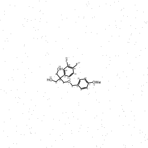 COc1ccc(COCC(CO)(CO)c2ccc(F)c(F)c2)cc1